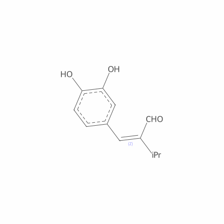 CC(C)/C(C=O)=C/c1ccc(O)c(O)c1